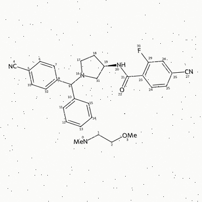 CNCCOC.N#Cc1ccc(C(c2ccccc2)N2CC[C@@H](NC(=O)c3ccc(C#N)cc3F)C2)cc1